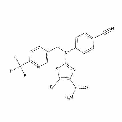 N#Cc1ccc(N(Cc2ccc(C(F)(F)F)nc2)c2nc(C(N)=O)c(Br)s2)cc1